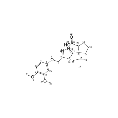 COc1ccc(OCc2nnc(C3(C(C)(C)C)CCCN3C(=O)O)s2)cc1OC